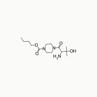 CCCCOC(=O)N1CCN(C(=O)C(N)C(C)(C)O)CC1